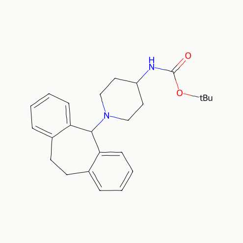 CC(C)(C)OC(=O)NC1CCN(C2c3ccccc3CCc3ccccc32)CC1